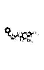 Cc1cn2c(n1)N(C)C(=O)C(NC(O)c1ncn(Cc3ccccc3)n1)CC2